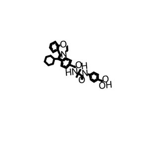 CC(C)(NC(=O)c1ccc2c(C3CCCCC3)c3n(c2c1)CCOc1ccccc1-3)C(=O)Nc1ccc(C(=O)O)cc1